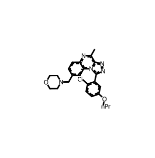 CCCOc1ccc(Cl)c(-c2nnc3c(C)nc4ccc(CN5CCOCC5)cc4n23)c1